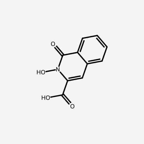 O=C(O)c1cc2ccccc2c(=O)n1O